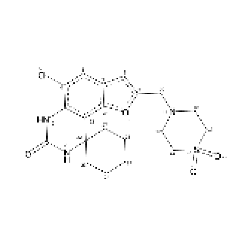 O=C1Nc2c(Cl)cc3cc(CN4CCS(=O)(=O)CC4)oc3c2C2(CCCCC2)N1